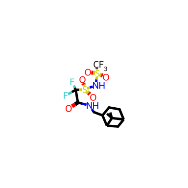 CC1(C)C2CCC(CNC(=O)C(F)(F)S(=O)(=O)NS(=O)(=O)C(F)(F)F)C1C2